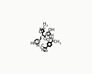 Cc1cc([C@@H](CCN2CCNCC2)C(=O)N2C[C@H](O)C[C@H]2C(=O)N[C@@H](C)c2ccc(-c3scnc3C)cc2)on1